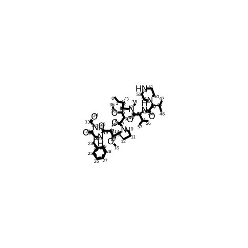 CC[C@H](C)[C@@H](C(CC(=O)N1CCC[C@H]1[C@H](OC)[C@@H](C)C(=O)N[C@@H](Cc1ccccc1)C(=O)NC=O)OC)N(C)C(=O)[C@@H](NC(=O)[C@H](C(C)C)N1CCNCC1)C(C)C